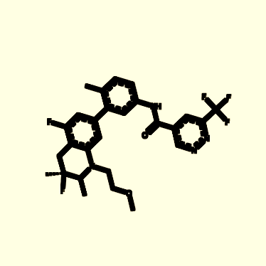 COCCN1c2cc(-c3cc(NC(=O)c4cnnc(C(F)(F)F)c4)ccc3C)cc(F)c2C[C@](C)(F)C1C